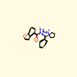 CN(C)C1(C(NC(=O)c2cccc3occc23)c2ccccc2)CCCC1